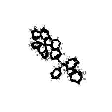 c1ccc(N(c2ccc3c4c(ccc3c2)-c2ccc3ccccc3c2C42c3ccccc3-c3ccccc32)c2cccc3c2oc2ccccc23)cc1